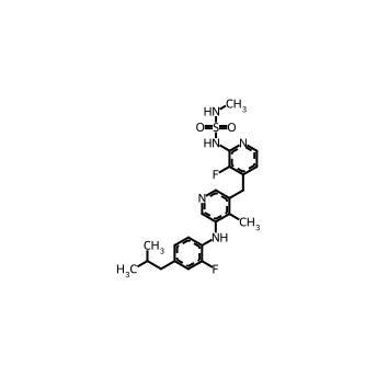 CNS(=O)(=O)Nc1nccc(Cc2cncc(Nc3ccc(CC(C)C)cc3F)c2C)c1F